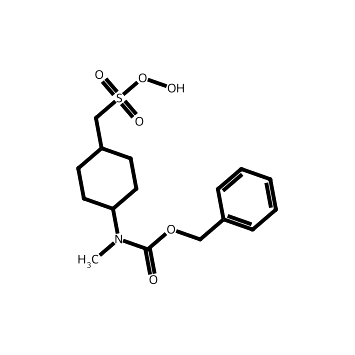 CN(C(=O)OCc1ccccc1)C1CCC(CS(=O)(=O)OO)CC1